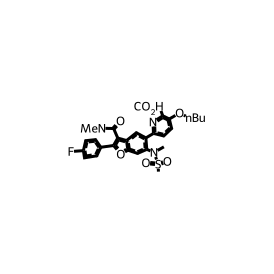 CCCCOc1ccc(-c2cc3c(C(=O)NC)c(-c4ccc(F)cc4)oc3cc2N(C)S(C)(=O)=O)nc1C(=O)O